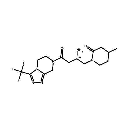 CC1CCN(C[C@@H](N)CC(=O)N2CCn3c(nnc3C(F)(F)F)C2)C(=O)C1